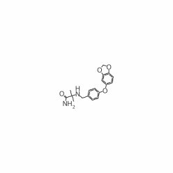 CC(C)(NCc1ccc(Oc2ccc3c(c2)OCO3)cc1)C(N)=O